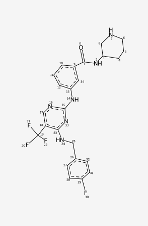 O=C(NC1CCCNC1)c1cccc(Nc2ncc(C(F)(F)F)c(NCc3ccc(F)cc3)n2)c1